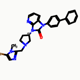 Cn1c(Br)cnc1CN1CC[C@H](n2c(=O)n(-c3ccc(-c4ccccc4)cc3)c3cccnc32)C1